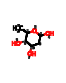 C[C@H]1OC(O)C[C@H](O)[C@@H]1O